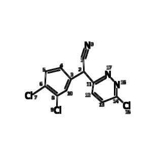 N#CC(c1ccc(Cl)c(Cl)c1)c1ccc(Cl)nn1